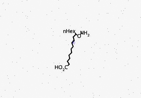 CCCCCCC(C/C=C/CCCCCCCC(=O)O)ON